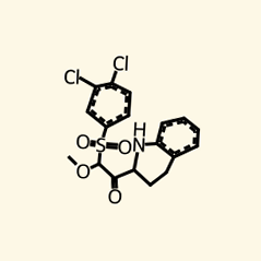 COC(C(=O)C1CCc2ccccc2N1)S(=O)(=O)c1ccc(Cl)c(Cl)c1